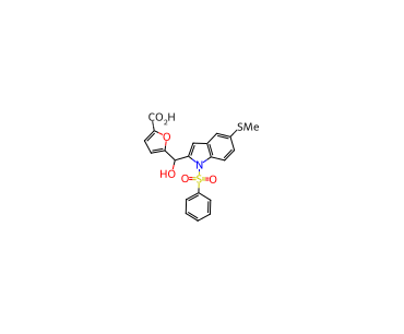 CSc1ccc2c(c1)cc(C(O)c1ccc(C(=O)O)o1)n2S(=O)(=O)c1ccccc1